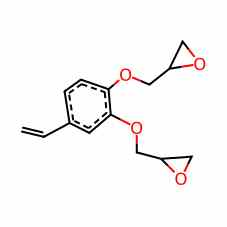 C=Cc1ccc(OCC2CO2)c(OCC2CO2)c1